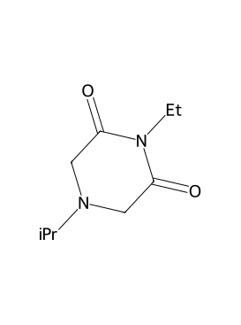 CCN1C(=O)CN(C(C)C)CC1=O